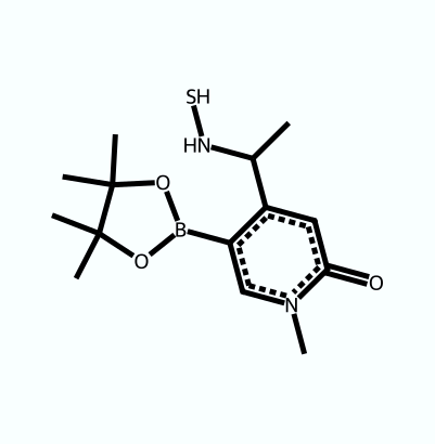 CC(NS)c1cc(=O)n(C)cc1B1OC(C)(C)C(C)(C)O1